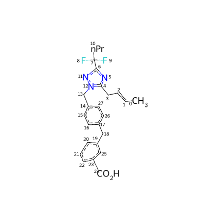 CC=CCc1nc(C(F)(F)CCC)nn1Cc1ccc(Cc2cccc(C(=O)O)c2)cc1